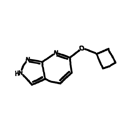 c1cc2c[nH]nc2nc1OC1CCC1